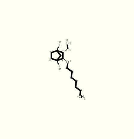 CCCCCCCO[C@@H]1[C@@H]2CC[C@@H](C2)[C@@H]1CO